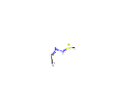 CC/C=N\N=[SH]\C